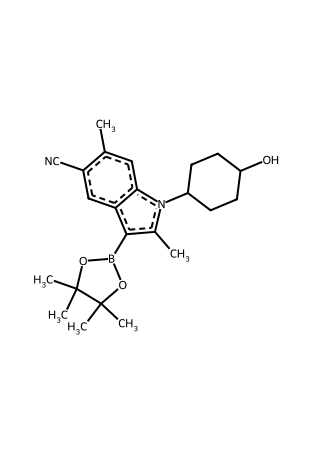 Cc1cc2c(cc1C#N)c(B1OC(C)(C)C(C)(C)O1)c(C)n2C1CCC(O)CC1